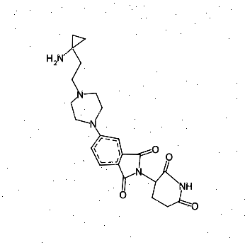 NC1(CCN2CCN(c3ccc4c(c3)C(=O)N(C3CCC(=O)NC3=O)C4=O)CC2)CC1